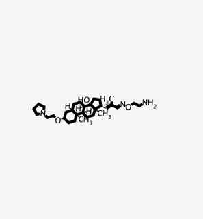 CC(/C=N/OCCN)=C\[C@H]1CC[C@]2(O)[C@@H]3CC[C@@H]4C[C@@H](OCCN5CCCC5)CC[C@]4(C)[C@H]3CC[C@]12C